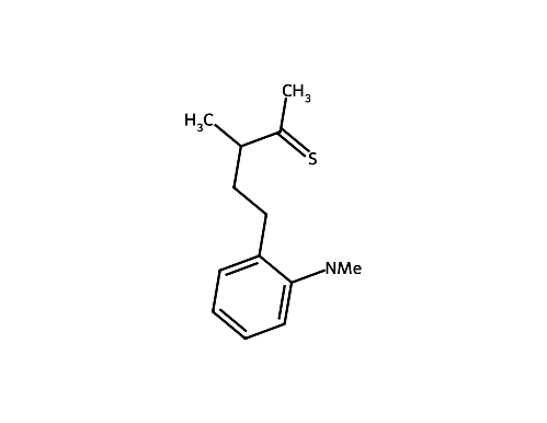 CNc1ccccc1CCC(C)C(C)=S